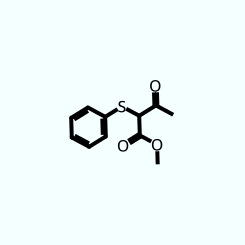 COC(=O)C(Sc1ccccc1)C(C)=O